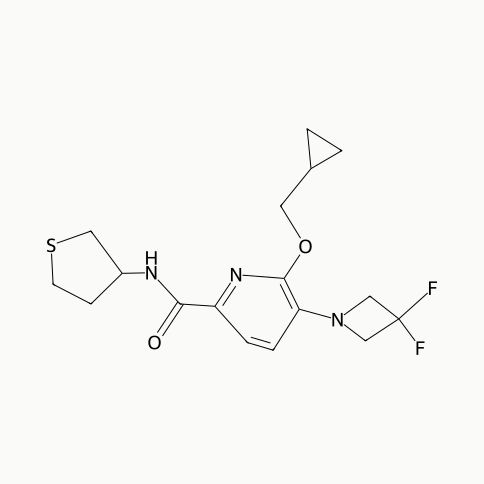 O=C(NC1CCSC1)c1ccc(N2CC(F)(F)C2)c(OCC2CC2)n1